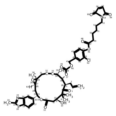 C=CC[C@H]1C(=O)C(C)(C)[C@@H](O)CC(=O)O[C@H](c2ccc3sc(C)nc3c2)C[C@H]2O[C@@]2(C)CCC[C@H](C)[C@@H]1OC(=O)OCc1ccc(OC(=O)CCCCCN2C(=O)C=CC2=O)c(Cl)c1